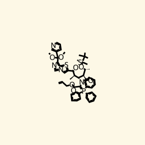 C=CCOC(=O)C(N1C(=O)[C@H]([C@@H](C)O[Si](C)(C)C(C)(C)C)[C@H]1[C@@H](C)C(=O)c1cn2cnc(C(OC)(OC)c3cccnc3)c2s1)=P(c1ccccc1)(c1ccccc1)c1ccccc1